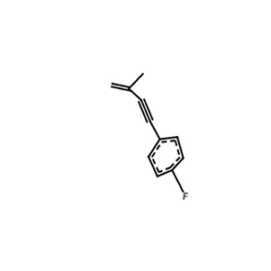 C=C(C)C#Cc1ccc(F)cc1